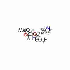 COC1=C(C)C(=O)C(/C=C(\CCCCCc2cccnc2)C(=O)O)=C(C)C1=O